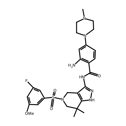 COc1cc(F)cc(S(=O)(=O)N2Cc3c(NC(=O)c4ccc(N5CCN(C)CC5)cc4N)n[nH]c3C(C)(C)C2)c1